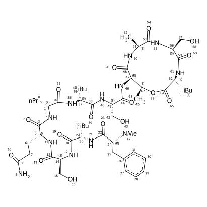 CCC[C@@H](NC(=O)[C@@H](CCC(N)=O)NC(=O)[C@H](CO)NC(=O)[C@@H](NC(=O)[C@@H](Cc1ccccc1)NC)[C@@H](C)CC)C(=O)N[C@H](C(=O)N[C@@H](CO)C(=O)N[C@H]1C(=O)N[C@@H](C)C(=O)N[C@@H](CO)C(=O)N[C@@H]([C@@H](C)CC)C(=O)O[C@H]1C)[C@@H](C)CC